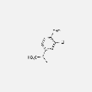 CC(C(=O)O)c1ccc(C=O)c(Cl)c1